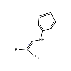 CC/C(C)=C/Nc1ccccc1